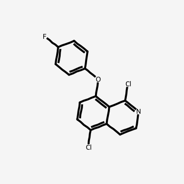 Fc1ccc(Oc2ccc(Cl)c3ccnc(Cl)c23)cc1